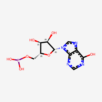 Oc1ncnc2c1ncn2[C@@H]1O[C@H](COP(O)O)[C@@H](O)[C@H]1O